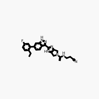 C=C(NCCC#N)N1Cc2nc(-c3n[nH]c4cc(-c5cc(F)ccc5CC)ccc34)[nH]c2C1